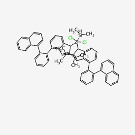 CC(C)C1=Cc2c(-c3ccccc3-c3cccc4ccccc34)cccc2[CH]1[Zr]([Cl])([Cl])([CH]1C(C(C)C)=Cc2c(-c3ccccc3-c3cccc4ccccc34)cccc21)[SiH](C)C